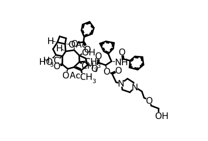 CC(=O)O[C@H]1C(=O)[C@@]2(C)[C@H]([C@H](OC(=O)c3ccccc3)[C@]3(O)C[C@H](OC(=O)[C@H](OC(=O)CN4CCN(CCOCCO)CC4)[C@@H](NC(=O)c4ccccc4)c4ccccc4)C(C)=C1C3(C)C)[C@]1(OC(C)=O)CC[C@@H]1C[C@@H]2O